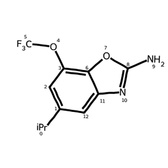 CC(C)c1cc(OC(F)(F)F)c2oc(N)nc2c1